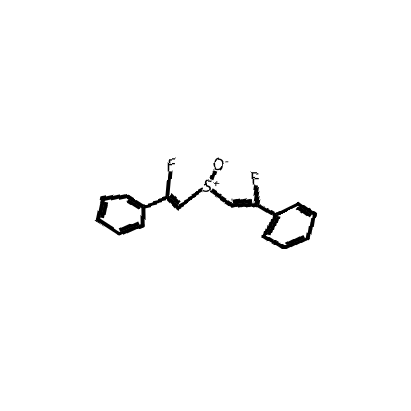 [O-][S+](C=C(F)c1ccccc1)C=C(F)c1ccccc1